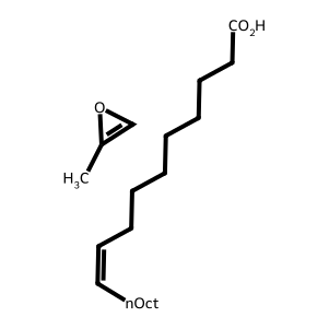 CC1=CO1.CCCCCCCC/C=C\CCCCCCCC(=O)O